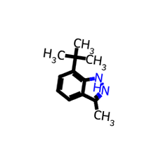 Cc1n[nH]c2c(C(C)(C)C)cccc12